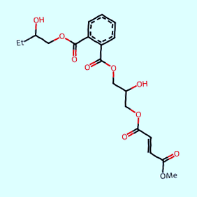 CCC(O)COC(=O)c1ccccc1C(=O)OCC(O)COC(=O)/C=C/C(=O)OC